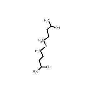 CC(O)CC[SiH2]O[SiH2]CCC(C)O